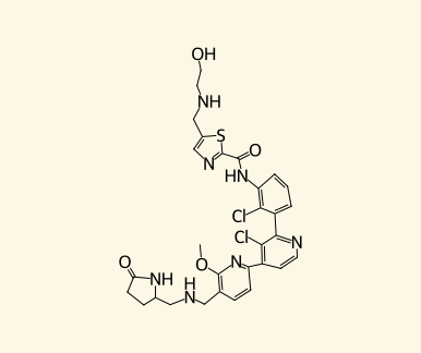 COc1nc(-c2ccnc(-c3cccc(NC(=O)c4ncc(CNCCO)s4)c3Cl)c2Cl)ccc1CNCC1CCC(=O)N1